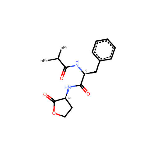 CCCC(CCC)C(=O)N[C@@H](Cc1ccccc1)C(=O)N[C@H]1CCOC1=O